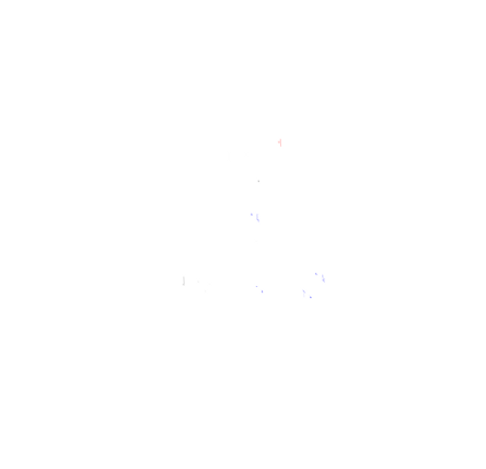 CC1(CO)CN(c2cc(C(=O)O)nc3c2c(C2CCC2)nn3-c2ccccc2)C1